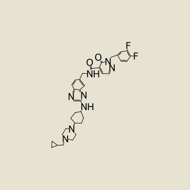 O=C(NCc1ccc2ncc(N[C@H]3CC[C@H](N4CCN(CC5CC5)CC4)CC3)nc2c1)c1ccnn(Cc2ccc(F)c(F)c2)c1=O